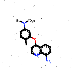 Cc1ccc(N(C(=O)O)C(C)(C)C)cc1Oc1ccnc2c(N)cccc12